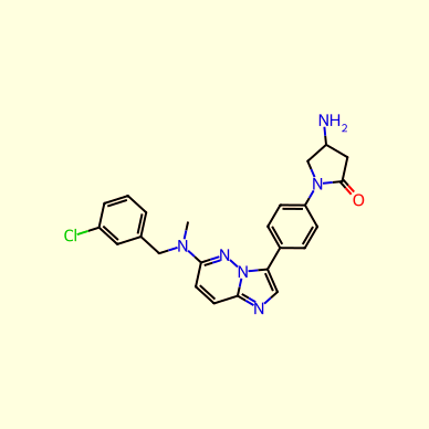 CN(Cc1cccc(Cl)c1)c1ccc2ncc(-c3ccc(N4CC(N)CC4=O)cc3)n2n1